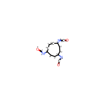 O=C=NC1CCCC(N=C=O)CCC(N=C=O)CC1